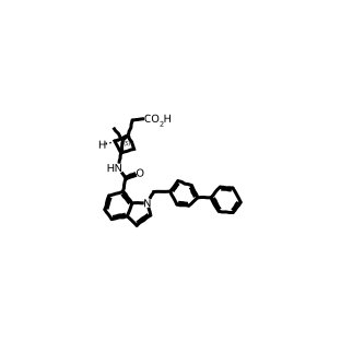 C[C@H]1C2(CC(=O)O)CC1(NC(=O)c1cccc3ccn(Cc4ccc(-c5ccccc5)cc4)c13)C2